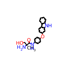 C[C@@](N)(CO)C(=O)Nc1ccc(Oc2ccc3c(c2)[nH]c2ccccc23)cc1